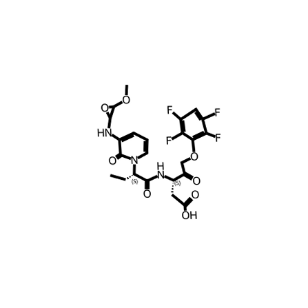 CC[C@@H](C(=O)N[C@@H](CC(=O)O)C(=O)COc1c(F)c(F)cc(F)c1F)n1cccc(NC2OC2OC)c1=O